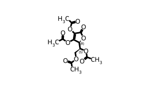 CC(=O)OC[C@H](OC(C)=O)[C@H]1OC(=O)C(OC(C)=O)=C1OC(C)=O